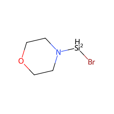 Br[SiH2]N1CCOCC1